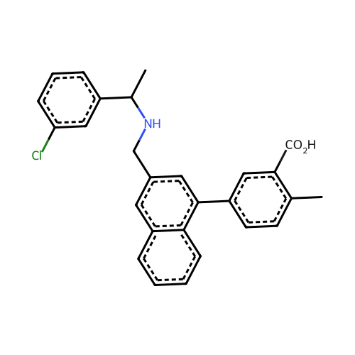 Cc1ccc(-c2cc(CNC(C)c3cccc(Cl)c3)cc3ccccc23)cc1C(=O)O